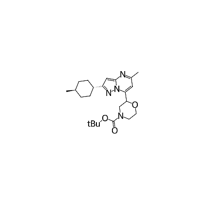 Cc1cc(C2CN(C(=O)OC(C)(C)C)CCO2)n2nc([C@H]3CC[C@H](C)CC3)cc2n1